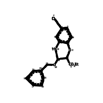 CCOC(=O)C1Oc2ccc(Cl)cc2NC1OCc1ccccc1